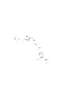 COc1cc(NC(=O)C(=O)NC(C)(C)Cc2ccc(NCc3ncc[nH]3)cc2)ccc1-c1cnco1